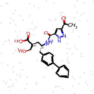 CC(=O)c1cc(C(=O)N[C@H](Cc2ccc(-c3ccccc3)cc2)C[C@@H](CO)C(=O)O)[nH]n1